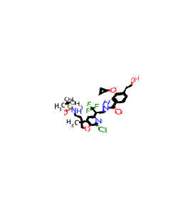 CC1(CCN[S+]([O-])C(C)(C)C)COc2c1cc(C(CNC(=O)c1ccc(CCO)c(OC3CC3)c1)C(F)(F)F)nc2Cl